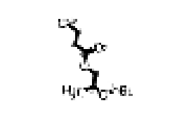 CCCCOC(C)COC(=O)CCCl